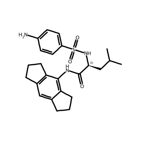 CC(C)C[C@H](NS(=O)(=O)c1ccc(N)cc1)C(=O)Nc1c2c(cc3c1CCC3)CCC2